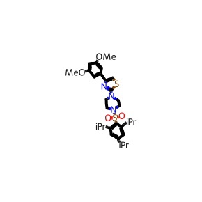 COc1cc(OC)cc(-c2csc(N3CCN(S(=O)(=O)c4c(C(C)C)cc(C(C)C)cc4C(C)C)CC3)n2)c1